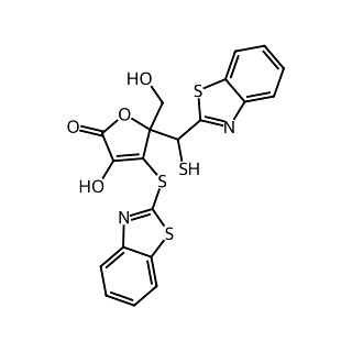 O=C1OC(CO)(C(S)c2nc3ccccc3s2)C(Sc2nc3ccccc3s2)=C1O